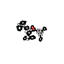 c1ccc(C2=NC3=NC(c4ccccc4)=NC4=NC(c5cccc(-c6cc(N7c8ccccc8Oc8ccccc87)cc7c6N(c6ccccc6)c6ccc(N8c9ccccc9Oc9ccccc98)cc6O7)c5)=NC(=N2)N34)cc1